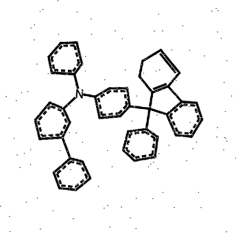 C1=CC2=C(CC1)C(c1ccccc1)(c1ccc(N(c3ccccc3)c3cccc(-c4ccccc4)c3)cc1)c1ccccc12